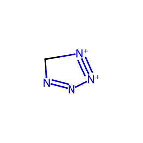 C1N=N[N+]#[N+]1